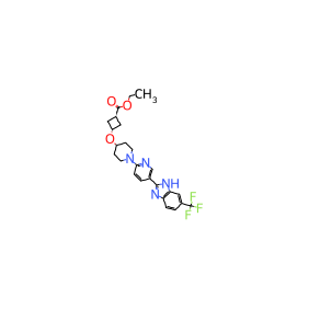 CCOC(=O)[C@H]1C[C@H](OC2CCN(c3ccc(-c4nc5ccc(C(F)(F)F)cc5[nH]4)cn3)CC2)C1